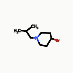 C[C](C)CN1CCC(Br)CC1